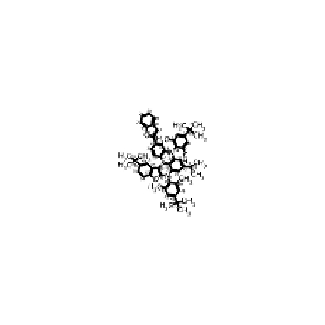 Cc1cc(C(C)(C)C)cc(C)c1N1c2cc(-c3cc4ccccc4o3)ccc2B2c3c1cc(C(C)C)cc3N(c1c(C)cc(C(C)(C)C)cc1C)c1oc3ccc(C(C)(C)C)cc3c12